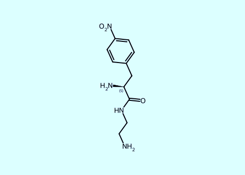 NCCNC(=O)[C@@H](N)Cc1ccc([N+](=O)[O-])cc1